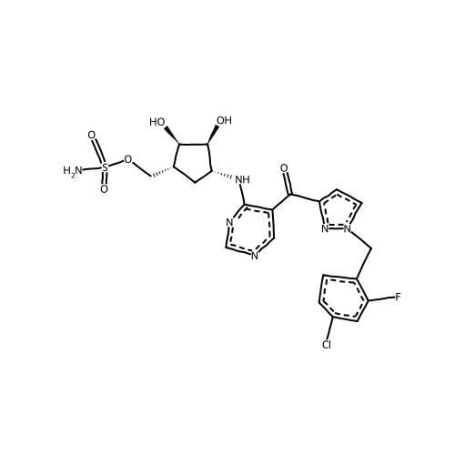 NS(=O)(=O)OC[C@H]1C[C@@H](Nc2ncncc2C(=O)c2ccn(Cc3ccc(Cl)cc3F)n2)[C@H](O)[C@@H]1O